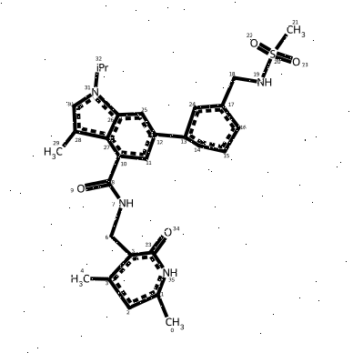 Cc1cc(C)c(CNC(=O)c2cc(-c3cccc(CNS(C)(=O)=O)c3)cc3c2c(C)cn3C(C)C)c(=O)[nH]1